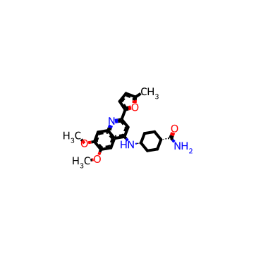 COc1cc2nc(-c3ccc(C)o3)cc(N[C@H]3CC[C@@H](C(N)=O)CC3)c2cc1OC